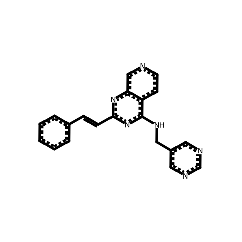 C(=Cc1nc(NCc2cncnc2)c2ccncc2n1)c1ccccc1